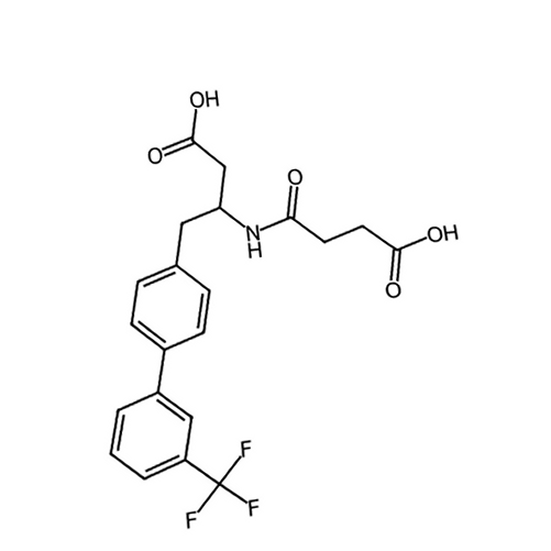 O=C(O)CCC(=O)NC(CC(=O)O)Cc1ccc(-c2cccc(C(F)(F)F)c2)cc1